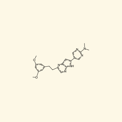 COc1cc(CCc2cnc3[nH]c(-c4cnc(N(C)C)nc4)cc3n2)cc(OC)c1